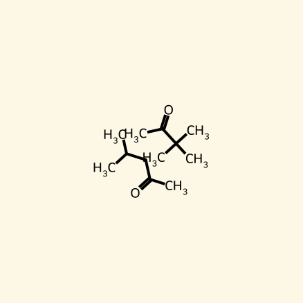 CC(=O)C(C)(C)C.CC(=O)CC(C)C